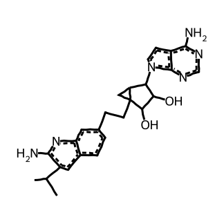 CC(C)c1cc2ccc(CCC34CC3C(n3ccc5c(N)ncnc53)C(O)C4O)cc2nc1N